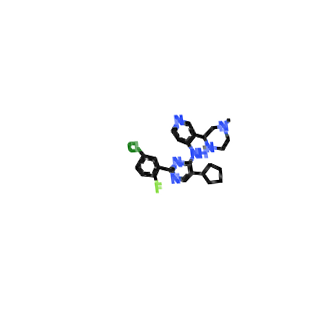 CN1CC[N]C(c2cnccc2Nc2nc(-c3cc(Cl)ccc3F)ncc2C2CCCC2)C1